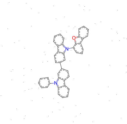 c1ccc(-n2c3ccccc3c3ccc(-c4ccc5c6ccccc6n(-c6cccc7c6oc6ccccc67)c5c4)cc32)cc1